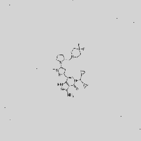 Cn1nc(-c2cn(C(C3CC3)C3CC3)c(=O)c3c(N)n[nH]c23)cc1N1CCC[C@@H]1CN1CCC(F)(F)CC1